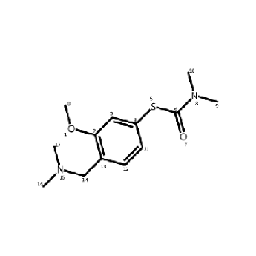 COc1cc(SC(=O)N(C)C)ccc1CN(C)C